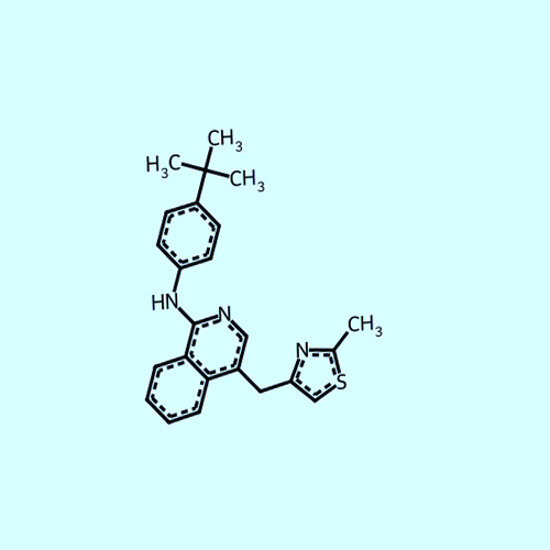 Cc1nc(Cc2cnc(Nc3ccc(C(C)(C)C)cc3)c3ccccc23)cs1